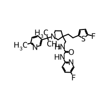 Cc1ccc(C(C)(C)N2CCC(CCc3ccc(F)s3)(CNC(=O)Nc3ccc(F)cn3)C2)cn1